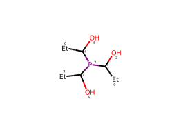 CCC(O)P(C(O)CC)C(O)CC